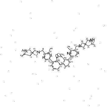 C=C1CC2(CN1)CN(Cc1ncc(-c3cccc(-c4cccc(-c5cnc(CN6CC7(CNC(=C)C7)C6)c(C)n5)c4Cl)c3Cl)nc1C)C2